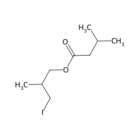 CC(C)CC(=O)OCC(C)CI